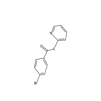 O=C(Sc1ccccn1)c1ccc(Br)cc1